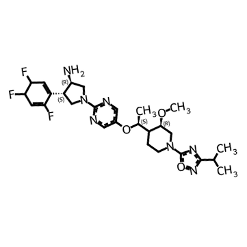 CO[C@H]1CN(c2nc(C(C)C)no2)CCC1[C@H](C)Oc1cnc(N2C[C@H](C3=CC(F)C(F)C=C3F)[C@@H](N)C2)nc1